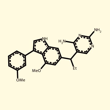 CCC(c1cc(OC)c2c(-c3cccc(OC)c3)c[nH]c2c1)c1cnc(N)nc1N